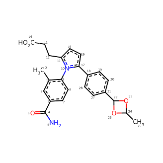 Cc1cc(C(N)=O)ccc1-n1c(CCC(=O)O)ccc1-c1ccc(C2OC(C)O2)cc1